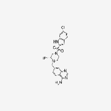 CC(C)[C@@H]1CN(S(=O)(=O)c2cc3ccc(Cl)cc3[nH]2)CCN1Cc1ccc2c(N)ncnc2c1